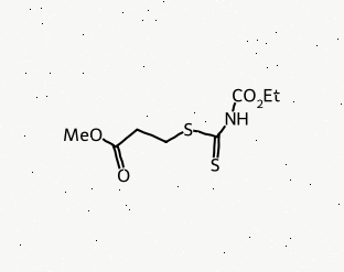 CCOC(=O)NC(=S)SCCC(=O)OC